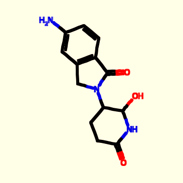 Nc1ccc2c(c1)CN(C1CCC(=O)NC1O)C2=O